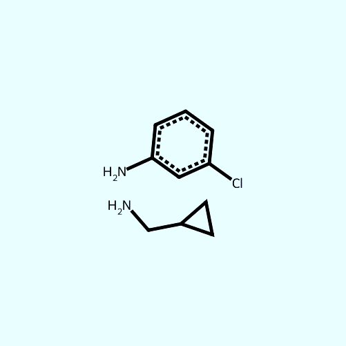 NCC1CC1.Nc1cccc(Cl)c1